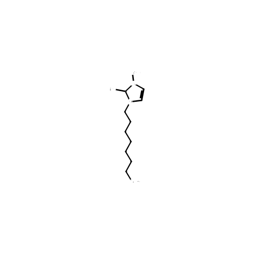 CCCCCCCCCCCCCCCCCN1C=CN(CCCCCCCCC)C1C(C)C